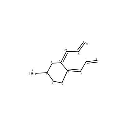 C=C/C=C1/CCC(C(C)(C)C)C/C1=C/C=C